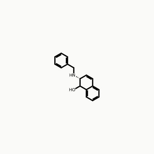 OC1c2ccccc2C=C[C@H]1NCc1ccccc1